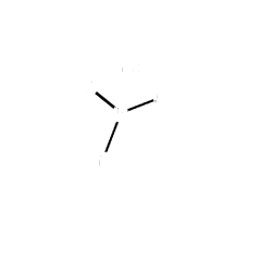 FB(F)F.[Cd]